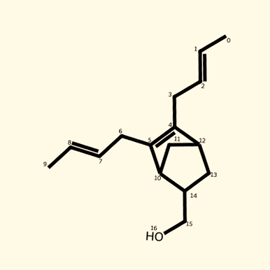 CC=CCC1=C(CC=CC)C2CC1CC2CO